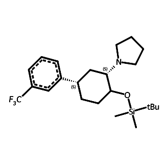 CC(C)(C)[Si](C)(C)OC1CC[C@H](c2cccc(C(F)(F)F)c2)C[C@@H]1N1CCCC1